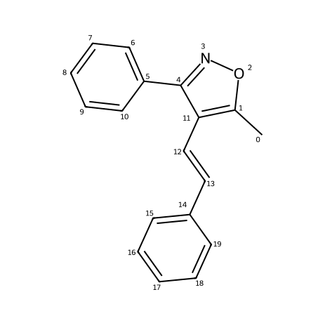 Cc1onc(-c2ccccc2)c1/C=C/c1ccccc1